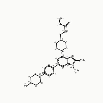 Cc1nc2c(N3CCC(CNC(=O)OC(C)(C)C)CC3)cc(-c3ccc(N4CCN(C(C)C)CC4)cc3)cc2n1C